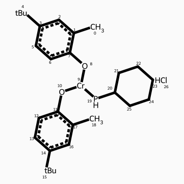 Cc1cc(C(C)(C)C)ccc1[O][Cr]([O]c1ccc(C(C)(C)C)cc1C)[PH]C1CCCCC1.Cl